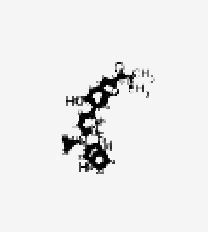 CN(C)C(=O)c1cc2cc(O)c(-c3ccc(N(C4CC4)[C@H]4C[C@@H]5CC[C@@H](C5)[C@H]4F)nn3)cc2o1